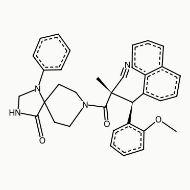 COc1ccccc1[C@H](c1cccc2ccccc12)[C@@](C)(C#N)C(=O)N1CCC2(CC1)C(=O)NCN2c1ccccc1